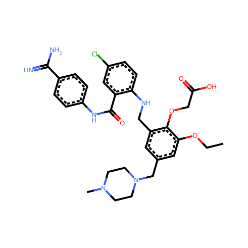 CCOc1cc(CN2CCN(C)CC2)cc(CNc2ccc(Cl)cc2C(=O)Nc2ccc(C(=N)N)cc2)c1OCC(=O)O